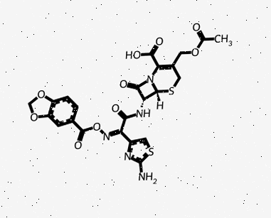 CC(=O)OCC1=C(C(=O)O)N2C(=O)[C@@H](NC(=O)/C(=N\OC(=O)c3ccc4c(c3)OCO4)c3csc(N)n3)[C@H]2SC1